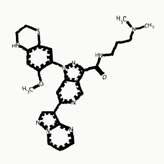 COc1cc2c(cc1-n1nc(C(=O)NCCCN(C)C)c3cnc(-c4cnn5cccnc45)cc31)SCCN2